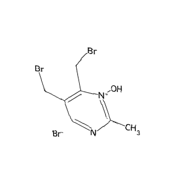 Cc1ncc(CBr)c(CBr)[n+]1O.[Br-]